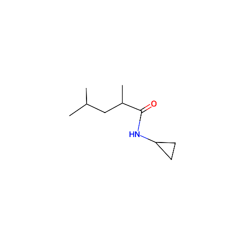 CC(C)CC(C)C(=O)NC1CC1